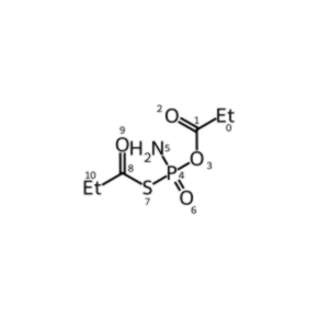 CCC(=O)OP(N)(=O)SC(=O)CC